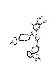 Cc1cc(C[C@@H](OC(=O)N2CCC3(CC2)CC(=O)Nc2ccccc23)C(=O)N2CCN(C3CCN(C)CC3)CC2)cc(Cl)c1N